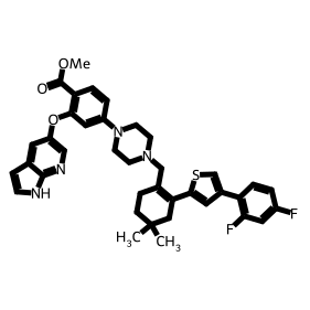 COC(=O)c1ccc(N2CCN(CC3=C(c4cc(-c5ccc(F)cc5F)cs4)CC(C)(C)CC3)CC2)cc1Oc1cnc2[nH]ccc2c1